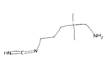 CC(C)(CN)CCCN=C=N